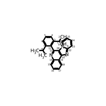 CC(C)c1cccc(C(C)C)c1-c1nc2ccccc2c2nc3ccccn3c12